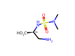 CN(C)S(=O)(=O)N[C@@H](CN)C(=O)O